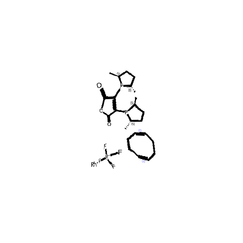 C1=C\CC/C=C\CC/1.C[C@H]1CC[C@H](C)P1C1=C(P2[C@@H](C)CC[C@@H]2C)C(=O)OC1=O.F[B-](F)(F)F.[Rh+]